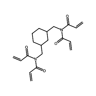 C=CC(=O)N(CC1CCCC(CN(C(=O)C=C)C(=O)C=C)C1)C(=O)C=C